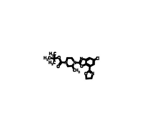 CC1CN(C(=O)OC(C)(C)C)CCN1c1nc2cc(Cl)cc(C3=NCCO3)c2o1